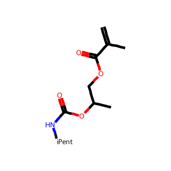 C=C(C)C(=O)OCC(C)OC(=O)NC(C)CCC